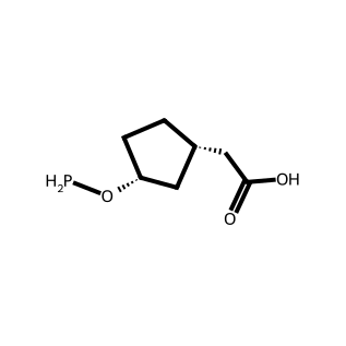 O=C(O)C[C@H]1CC[C@@H](OP)C1